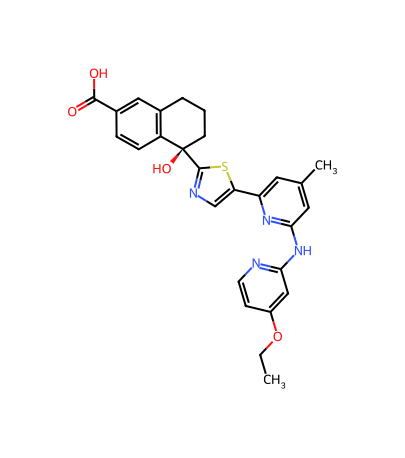 CCOc1ccnc(Nc2cc(C)cc(-c3cnc([C@@]4(O)CCCc5cc(C(=O)O)ccc54)s3)n2)c1